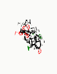 CC1(C)O[C@@H]2C[C@H]3[C@@H]4C[C@H](F)C5=CC(=O)C=C[C@]5(C)[C@@]4(F)[C@@H](Cl)C[C@]3(C)[C@]2(C(=O)CO)O1